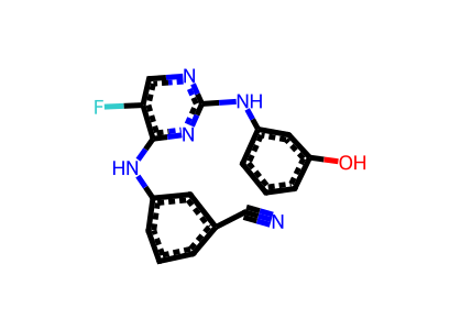 N#Cc1cccc(Nc2nc(Nc3cccc(O)c3)ncc2F)c1